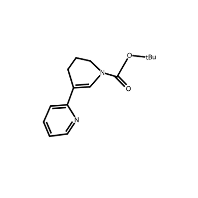 CC(C)(C)OC(=O)N1C=C(c2ccccn2)CCC1